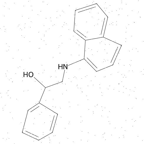 OC(CNc1cccc2ccccc12)c1ccccc1